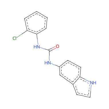 O=C(Nc1ccc2[nH]ccc2c1)Nc1ccccc1Cl